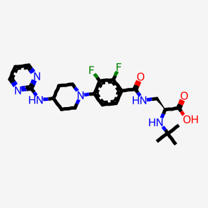 CC(C)(C)N[C@@H](CNC(=O)c1ccc(N2CCC(Nc3ncccn3)CC2)c(F)c1F)C(=O)O